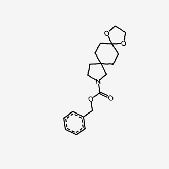 O=C(OCc1ccccc1)N1CCC2(CCC3(CC2)OCCO3)C1